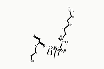 C=CC(=O)OCCO.CC(=O)O.CC(=O)O.CC(=O)O.CC(=O)O.CC(=O)O.NCCNCCN